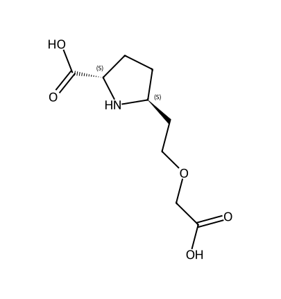 O=C(O)COCC[C@@H]1CC[C@@H](C(=O)O)N1